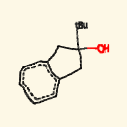 CC(C)(C)C1(O)Cc2ccccc2C1